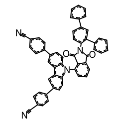 N#Cc1ccc(-c2ccc3c(c2)c2cc(-c4ccc(C#N)cc4)ccc2n3-c2cccc3c2C(=O)N(c2ccc(-c4ccccc4)cc2-c2ccccc2)C3=O)cc1